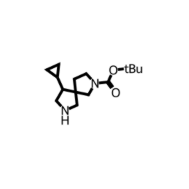 CC(C)(C)OC(=O)N1CCC2(CNCC2C2CC2)C1